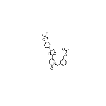 CC(=O)SCc1cccc(Cn2cc(-c3nc(-c4ccc(OC(F)(F)F)cc4)no3)ccc2=O)c1